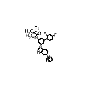 CC(C)(C)C(=O)Nc1cc(-c2ccc(F)cc2F)cc(-n2cnc3cc(-n4cccn4)ccc32)c1